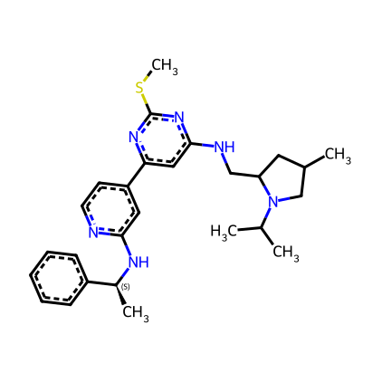 CSc1nc(NCC2CC(C)CN2C(C)C)cc(-c2ccnc(N[C@@H](C)c3ccccc3)c2)n1